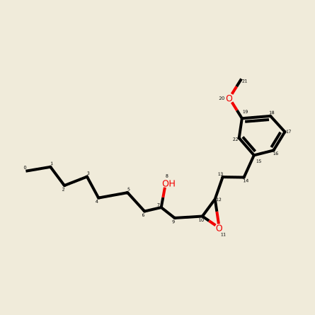 CCCCCCCC(O)CC1OC1CCc1cccc(OC)c1